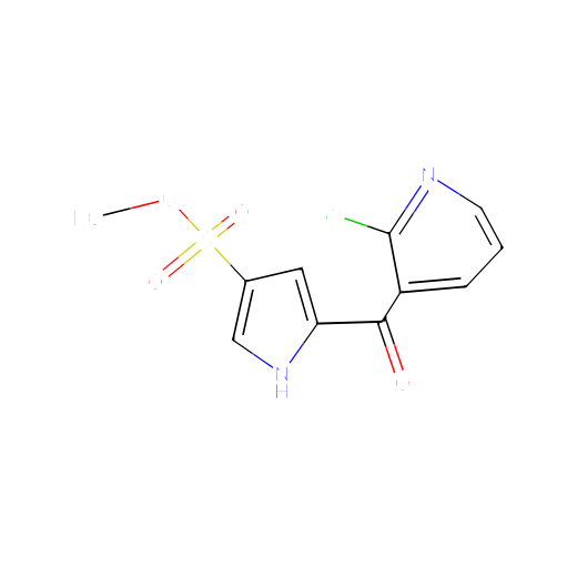 COS(=O)(=O)c1c[nH]c(C(=O)c2cccnc2Cl)c1